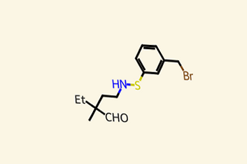 CCC(C)(C=O)CCNSc1cccc(CBr)c1